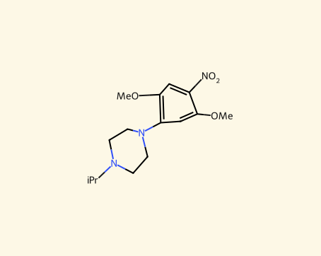 COc1cc([N+](=O)[O-])c(OC)cc1N1CCN(C(C)C)CC1